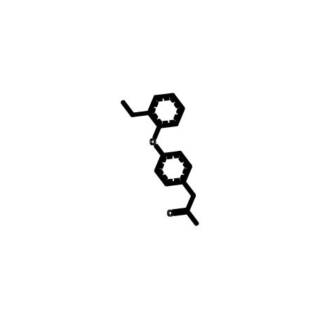 CCc1ccccc1Oc1ccc(CC(C)=O)cc1